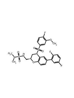 COc1cc(S(=O)(=O)N2C[C@H](CNS(=O)(=O)N(C)C)Oc3ccc(-c4cc(F)ccc4F)cc32)ccc1F